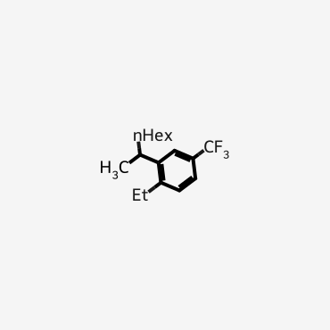 CCCCCCC(C)c1cc(C(F)(F)F)ccc1CC